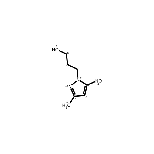 Cc1cc(N=O)n(CCCO)n1